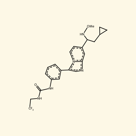 CONC(CC1CC1)c1ccn2c(-c3cccc(NC(=O)NCC(F)(F)F)c3)cnc2c1